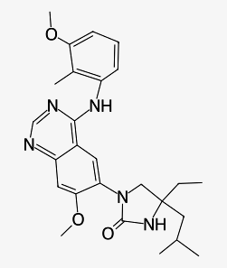 CCC1(CC(C)C)CN(c2cc3c(Nc4cccc(OC)c4C)ncnc3cc2OC)C(=O)N1